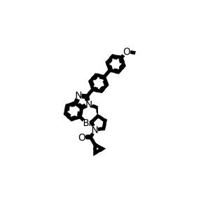 COc1ccc(-c2ccc(-c3nc4cccc(Br)c4n3C[C@H]3CCN(C(=O)C4CC4)C3)cc2)cc1